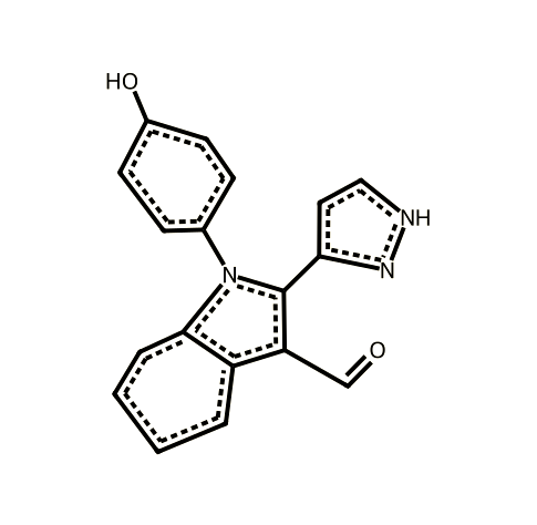 O=Cc1c(-c2cc[nH]n2)n(-c2ccc(O)cc2)c2ccccc12